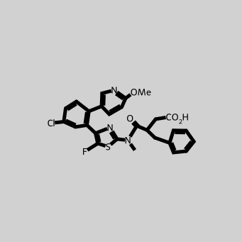 COc1ccc(-c2ccc(Cl)cc2-c2nc(N(C)C(=O)C(CC(=O)O)Cc3ccccc3)sc2F)cn1